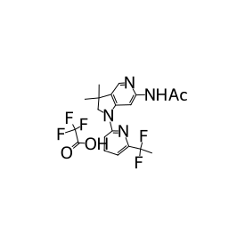 CC(=O)Nc1cc2c(cn1)C(C)(C)CN2c1cccc(C(C)(F)F)n1.O=C(O)C(F)(F)F